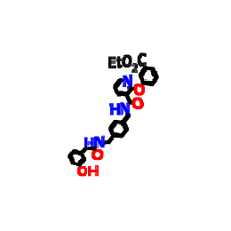 CCOC(=O)c1cccc(Oc2ncccc2C(=O)NCc2ccc(CNC(=O)Cc3cccc(O)c3)cc2)c1